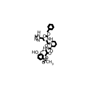 CP(=O)(OCC(=O)[C@H](CC(=O)O)NC(=O)[C@@H]1CCCCN1C(=O)[C@H](CCc1nnn[nH]1)NC(=O)OCc1ccccc1)c1ccccc1